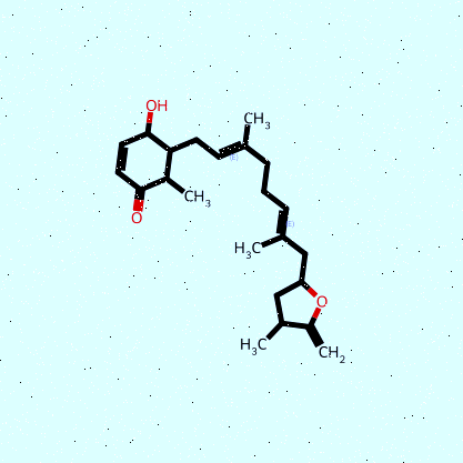 C=C1OC(C/C(C)=C/CC/C(C)=C/CC2C(O)C=CC(=O)C2C)CC1C